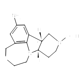 Nc1cc2c3c(c1)[C@@H]1CN(C(=O)O)CC[C@@H]1N3CCSC2